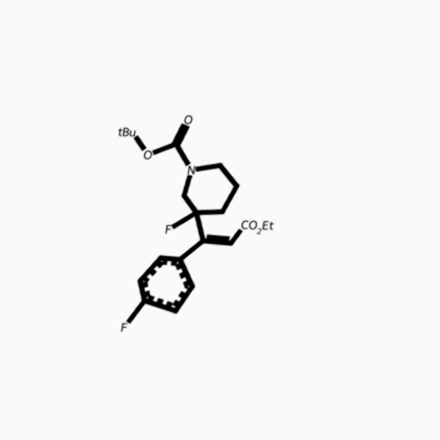 CCOC(=O)C=C(c1ccc(F)cc1)C1(F)CCCN(C(=O)OC(C)(C)C)C1